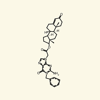 C[C@]12CCC(=O)C=C1CC[C@@H]1[C@@H]2CC[C@]2(C)C(OC(=O)Cn3cnc4c(=O)n(Cc5ccccc5)c(N)nc43)CC[C@@H]12